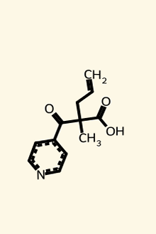 C=CCC(C)(C(=O)O)C(=O)c1ccncc1